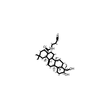 CC1(C)CC[C@]2(C(=O)NCCC#N)CC[C@]3(C)C(=CC[C@@H]4[C@@]5(C)CC[C@H](O)[C@@](C)(CO)C5CC[C@]43C)[C@H]2C1